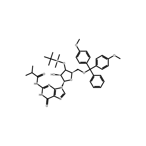 COc1ccc(C(OC[C@H]2O[C@@H](n3cnc4c(=O)[nH]c(NC(=O)C(C)C)nc43)[C@@H](O)C2O[Si](C)(C)C(C)(C)C)(c2ccccc2)c2ccc(OC)cc2)cc1